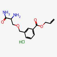 C=CCOC(=O)c1cccc(COCC(N)C(N)=O)c1.Cl